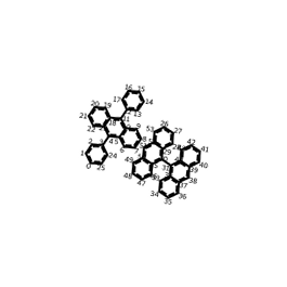 c1ccc(-c2c3ccccc3c(-c3ccccc3)c3ccccc23)cc1.c1ccc2c(-c3c4ccccc4cc4ccccc34)c3ccccc3cc2c1